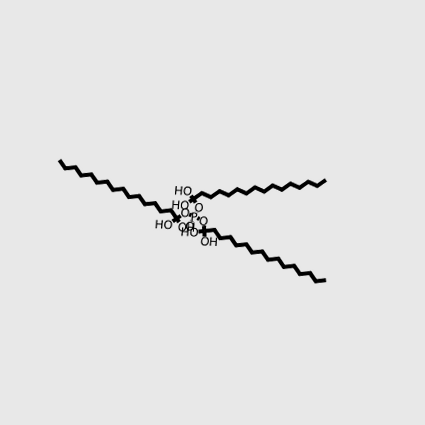 CCCCCCCCCCCCCCCC(O)(O)OP(=O)(OC(O)(O)CCCCCCCCCCCCCCC)OC(O)(O)CCCCCCCCCCCCCCC